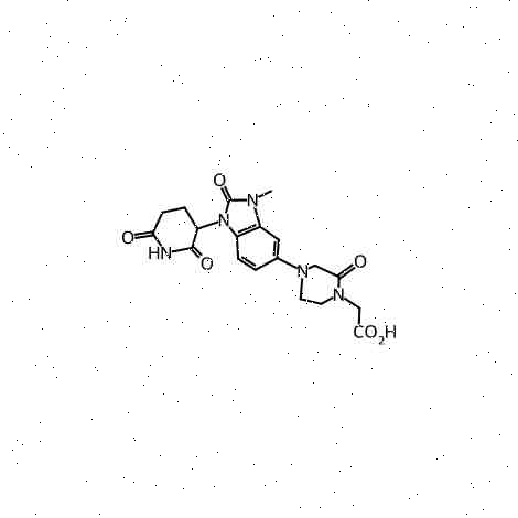 Cn1c(=O)n(C2CCC(=O)NC2=O)c2ccc(N3CCN(CC(=O)O)C(=O)C3)cc21